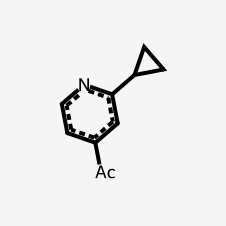 CC(=O)c1ccnc(C2CC2)c1